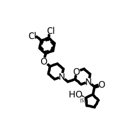 O=C(C1CCC[C@@H]1O)N1CCOC(CN2CCC(Oc3ccc(Cl)c(Cl)c3)CC2)C1